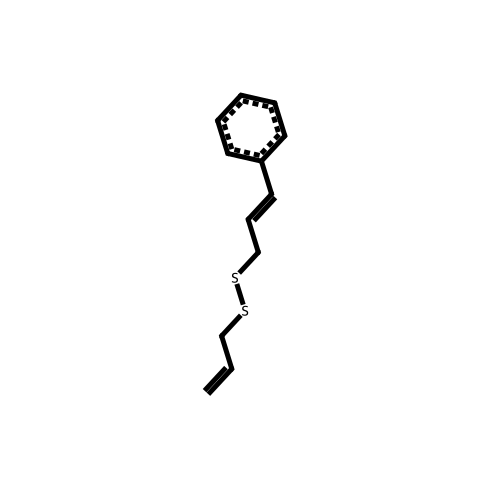 C=CCSSCC=Cc1ccccc1